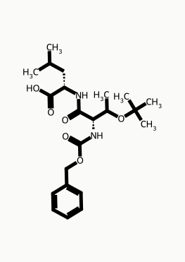 CC(C)C[C@H](NC(=O)[C@@H](NC(=O)OCc1ccccc1)C(C)OC(C)(C)C)C(=O)O